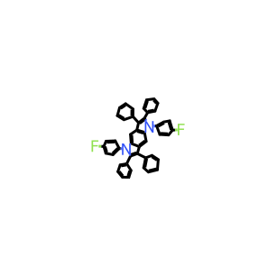 Fc1ccc(-n2c(-c3ccccc3)c(-c3ccccc3)c3cc4c(cc32)c(-c2ccccc2)c(-c2ccccc2)n4-c2ccc(F)cc2)cc1